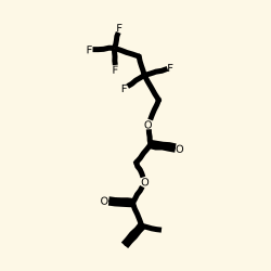 C=C(C)C(=O)OCC(=O)OCC(F)(F)CC(F)(F)F